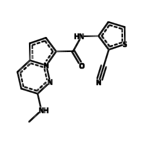 CNc1ccc2ccc(C(=O)Nc3ccsc3C#N)n2n1